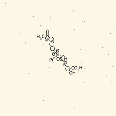 Cc1nc2c(Cc3ccc(S(=O)(=O)N(Cc4ccc(N=Nc5ccc(O)c(C(=O)O)c5)cc4)[C@@H](CC(C)C)C(=O)O)cc3)nccc2[nH]1